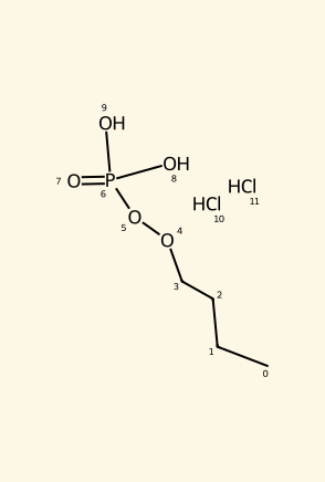 CCCCOOP(=O)(O)O.Cl.Cl